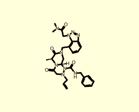 C=CCN1CC(=O)N2[C@@H](C)C(=O)N(Cc3cccc4nnn(CC(=O)N(C)C)c34)C[C@@H]2N1C(=O)NCc1ccccc1